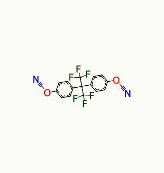 N#COc1ccc(C(c2ccc(OC#N)cc2)(C(F)(F)F)C(F)(F)F)cc1